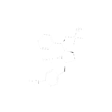 CC(C)(C)[Si](C)(C)O[C@H](c1ccccc1)[C@H]1CC[C@@H](Cc2ccc([N+](=O)[O-])cc2)N1C(=O)O